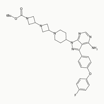 CC(C)(C)OC(=O)N1CC(N2CC(N3CCC(n4nc(-c5ccc(Oc6ccc(F)cc6)cc5)c5c(N)ncnc54)CC3)C2)C1